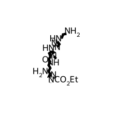 CCOC(=O)c1nc(C(N)CCNC(=O)c2cc(Nc3nc(NCCCN)cn3C)cn2C)cn1C